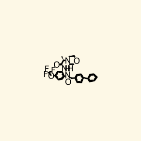 C[C@H](C(=O)Nc1cc(OC(F)(F)F)ccc1NC(=O)c1ccc(-c2ccccc2)cc1)N1CCOCC1